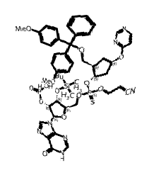 COc1ccc(C(OC[C@H]2C[C@@H](Oc3ccncn3)C[C@@H]2O[P@](=S)(OCCC#N)OC[C@H]2O[C@@H](n3cnc4c(=O)[nH]cnc43)[C@H](O[PH](=O)O)[C@@H]2O[Si](C)(C)C(C)(C)C)(c2ccccc2)c2ccc(OC)cc2)cc1